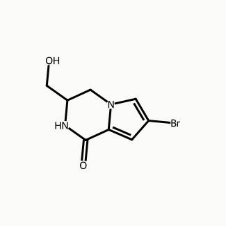 O=C1NC(CO)Cn2cc(Br)cc21